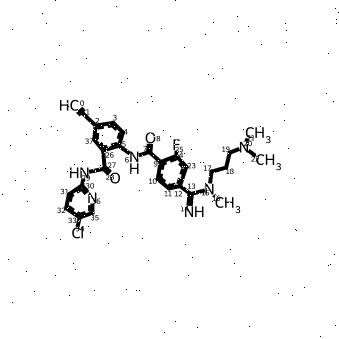 C#Cc1ccc(NC(=O)c2ccc(C(=N)N(C)CCCN(C)C)cc2F)c(C(=O)Nc2ccc(Cl)cn2)c1